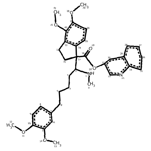 CNC(CCCCc1ccc(OC)c(OC)c1)C1(C(=O)Oc2cnc3ccccc3c2)CCc2c1ccc(OC)c2OC